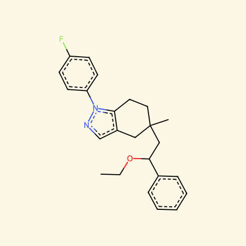 CCOC(CC1(C)CCc2c(cnn2-c2ccc(F)cc2)C1)c1ccccc1